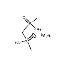 CP(=O)(O)CP(C)(=O)O.[MgH2]